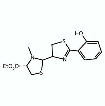 CCOC(=O)[C@H]1CSC(C2CSC(c3ccccc3O)=N2)N1C